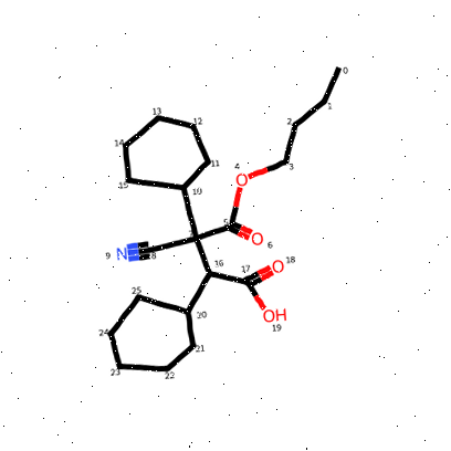 CCCCOC(=O)C(C#N)(C1CCCCC1)C(C(=O)O)C1CCCCC1